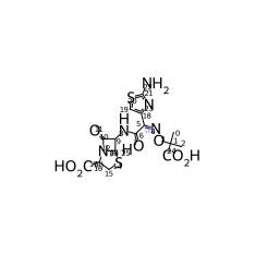 CC(C)(O/N=C(\C(=O)NC1C(=O)N2[C@@H]1SC[C@H]2C(=O)O)c1csc(N)n1)C(=O)O